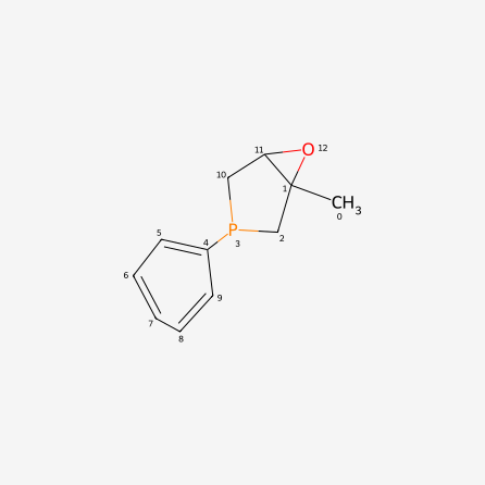 CC12CP(c3ccccc3)CC1O2